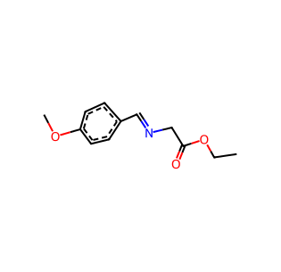 CCOC(=O)C/N=C/c1ccc(OC)cc1